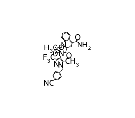 Cc1c(N(C(=O)c2cc(C(N)=O)c3ccccc3n2)S(C)(=O)=O)c(C(F)(F)F)nn1Cc1ccc(C#N)cc1